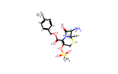 CS(=O)(=O)OC1=C(C(=O)OCc2ccc([N+](=O)[O-])cc2)N2C(=O)C(N)[C@@H]2SC1